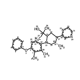 Cc1c(Oc2ccccc2)nnc(N2C[C@@H](C)N(c3cnccn3)CC2C(C)(C)O)c1C